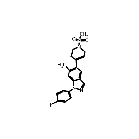 Cc1cc2c(cnn2-c2ccc(F)cc2)cc1C1=CCN(S(C)(=O)=O)CC1